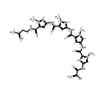 C=C(Br)C(=O)Nc1cn(C)c(C(=O)Nc2cc(C(=O)Nc3cc(C(=O)Nc4cc(C(=O)NCCC(=N)N)n(C)n4)n(C)n3)n(C)c2)n1